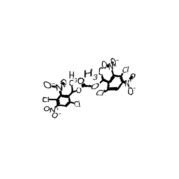 CC(OC(=O)OC(C)c1c(Cl)cc([N+](=O)[O-])c(Cl)c1[N+](=O)[O-])c1c(Cl)cc([N+](=O)[O-])c(Cl)c1[N+](=O)[O-]